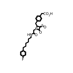 O=S=C1C(=O)N(CC(=O)NCCCCCCc2ccc(F)cc2)C1Cc1ccc(CC(=O)O)cc1